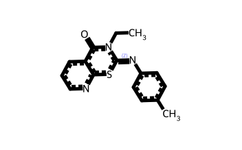 CCn1c(=O)c2cccnc2s/c1=N\c1ccc(C)cc1